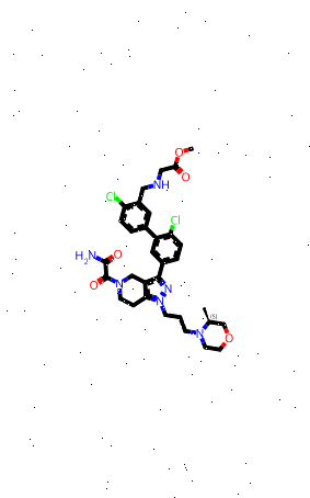 COC(=O)CNCc1cc(-c2cc(-c3nn(CCCN4CCOC[C@@H]4C)c4c3CN(C(=O)C(N)=O)CC4)ccc2Cl)ccc1Cl